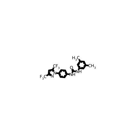 Cc1cc(C)cc(NC(=O)Nc2ccc(-n3nc(C(F)(F)F)cc3C(F)(F)F)cc2)c1